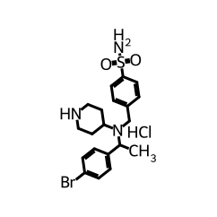 CC(c1ccc(Br)cc1)N(Cc1ccc(S(N)(=O)=O)cc1)C1CCNCC1.Cl